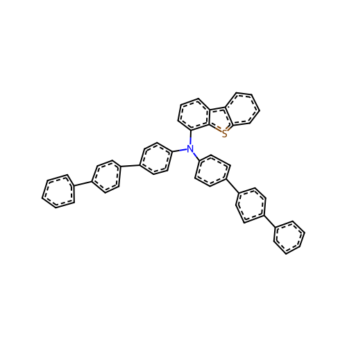 c1ccc(-c2ccc(-c3ccc(N(c4ccc(-c5ccc(-c6ccccc6)cc5)cc4)c4cccc5c4sc4ccccc45)cc3)cc2)cc1